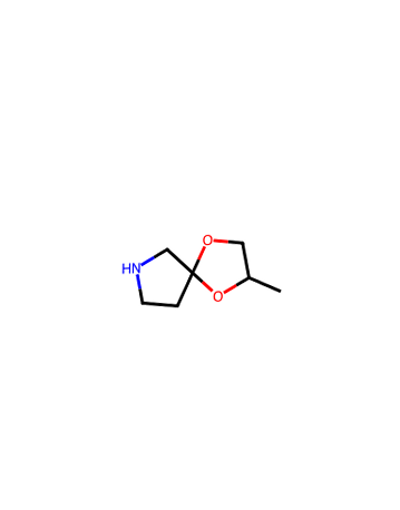 CC1COC2(CCNC2)O1